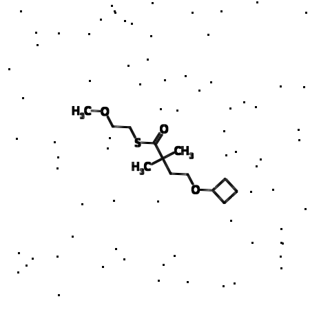 COCCSC(=O)C(C)(C)CCOC1CCC1